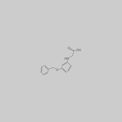 O=C(O)CNc1cccc(OCc2ccccc2)c1